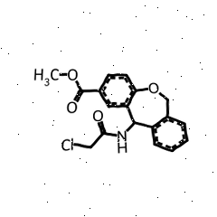 COC(=O)c1ccc2c(c1)C(NC(=O)CCl)c1ccccc1CO2